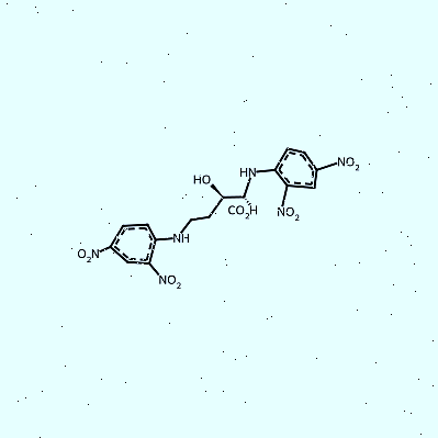 O=C(O)[C@@H](Nc1ccc([N+](=O)[O-])cc1[N+](=O)[O-])[C@H](O)CCNc1ccc([N+](=O)[O-])cc1[N+](=O)[O-]